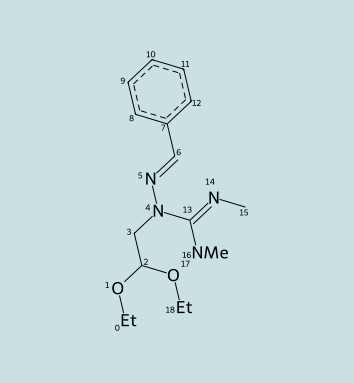 CCOC(CN(N=Cc1ccccc1)C(=NC)NC)OCC